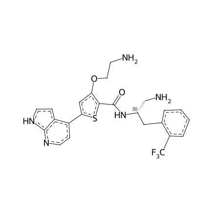 NCCOc1cc(-c2ccnc3[nH]ccc23)sc1C(=O)N[C@H](CN)Cc1ccccc1C(F)(F)F